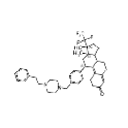 C[C@]12C[C@H](c3ccc(CN4CCN(CCc5ccccc5)CC4)cc3)C3=C4CCC(=O)C=C4CCC3C1CC[C@@]2(O)C(F)(F)C(F)(F)F